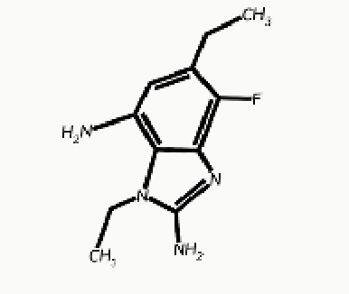 CCc1cc(N)c2c(nc(N)n2CC)c1F